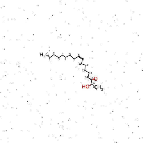 CCCCCCCC/C=C\CCCCCC(=O)[C@@H](C)O